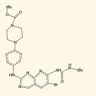 CC(C)(C)NC(=O)Nc1nc2nc(Nc3ccc(N4CCN(C(=O)OC(C)(C)C)CC4)cc3)ncc2cc1Br